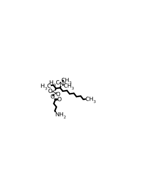 CCCCCCCCC(C(CC)S(=O)(=O)OC(=O)CCCN)[N+](C)(C)C